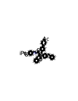 CC(=O)N1CCN(c2ccc(CN(C(=O)/C=C/c3ccc(OC(C)C)cc3)[C@@H](Cc3ccccc3)C(=O)N3CCN(Cc4ccccc4)CC3)cc2)CC1